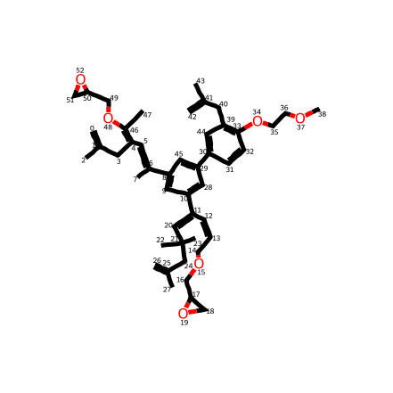 C=C(C)CC(/C=C(\C)c1cc(C(/C=C\COCC2CO2)=C/C(C)(C)CC(=C)C)cc(-c2ccc(OCCOC)c(CC(=C)C)c2)c1)=C(/C)OCC1CO1